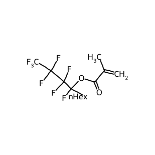 C=C(C)C(=O)OC(F)(CCCCCC)C(F)(F)C(F)(F)C(F)(F)F